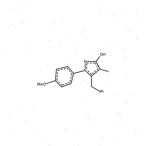 COc1ccc(-n2nc(O)c(C)c2CC(C)C)cc1